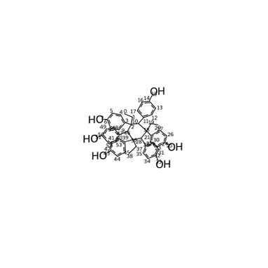 CCC1(c2ccc(O)cc2)C(c2ccc(O)cc2)C(CC)(c2ccc(O)cc2)C(c2ccc(O)cc2)C(CC)(c2ccc(O)cc2)C1c1ccc(O)cc1